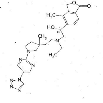 CCN(CCC1(C)CCN(c2ncc(-n3cnnn3)cn2)C1)C[C@H](O)c1ccc2c(c1C)COC2=O